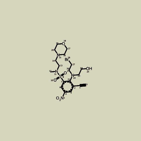 C#Cc1cc([N+](=O)[O-])cc(S(=O)(=O)N(C)CCN2CCOCC2)c1N(CCO)CCBr